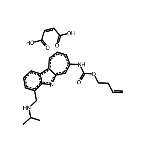 C=CCCOC(=O)Nc1cccc2c3cccc(CNC(C)C)c3nc-2c1.O=C(O)/C=C\C(=O)O